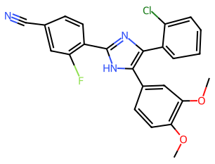 COc1ccc(-c2[nH]c(-c3ccc(C#N)cc3F)nc2-c2ccccc2Cl)cc1OC